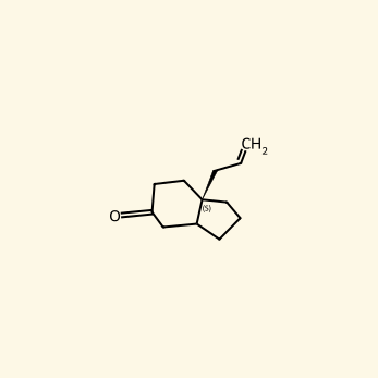 C=CC[C@@]12CCCC1CC(=O)CC2